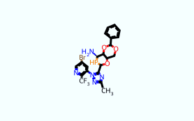 Cc1nc(C2OC3COC(c4ccccc4)OC3[C@H](N)P2)n(-c2cc(Br)cnc2C(F)(F)F)n1